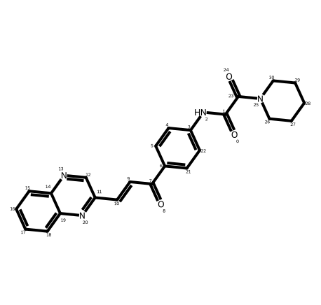 O=C(Nc1ccc(C(=O)/C=C/c2cnc3ccccc3n2)cc1)C(=O)N1CCCCC1